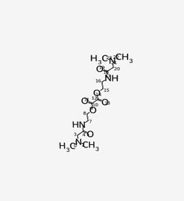 CN(C)CC(=O)NCCOC(=O)C(=O)OCCNC(=O)CN(C)C